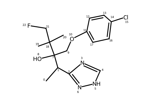 CC(c1nc[nH]n1)C(O)(COc1ccc(Cl)cc1)C(C)(C)CF